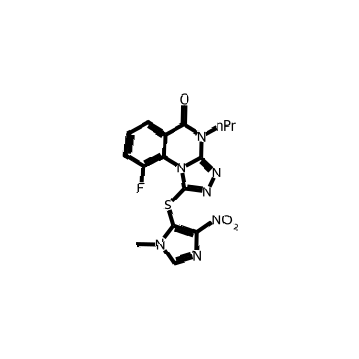 CCCn1c(=O)c2cccc(F)c2n2c(Sc3c([N+](=O)[O-])ncn3C)nnc12